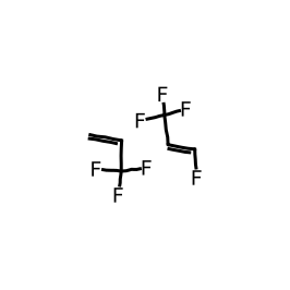 C=CC(F)(F)F.FC=CC(F)(F)F